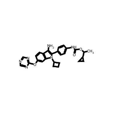 CC(OC(=O)Nc1ccc(-c2c(N)c3ccc(Oc4ncncn4)cc3n2C2CCC2)cc1)C1CC1